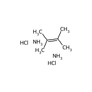 CC(C)=C(C)C.Cl.Cl.N.N